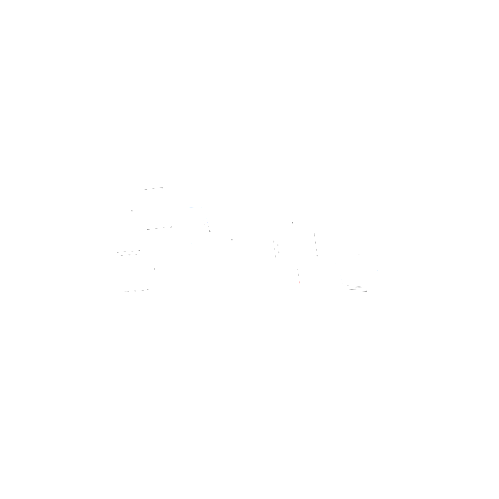 COc1cc(/C=C/c2nc3n(n2)CCCC3c2cccc(F)c2)ccc1-n1cnc(C)c1